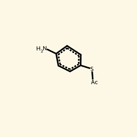 CC(=O)Sc1ccc(N)cc1